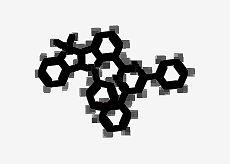 C[Si]1(C)c2ccccc2-c2c1c1cccc(-c3nc(-c4ccccc4)cc(-c4ccccc4)n3)c1n2-c1ccccc1